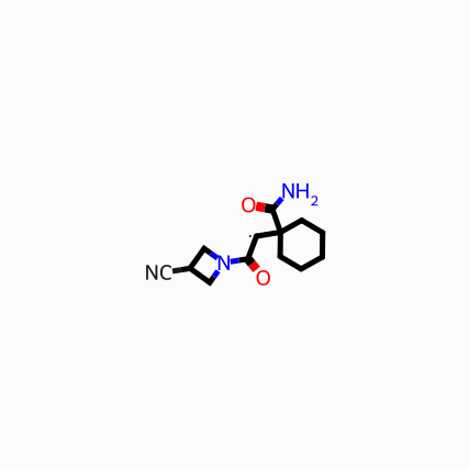 N#CC1CN(C(=O)[CH]C2(C(N)=O)CCCCC2)C1